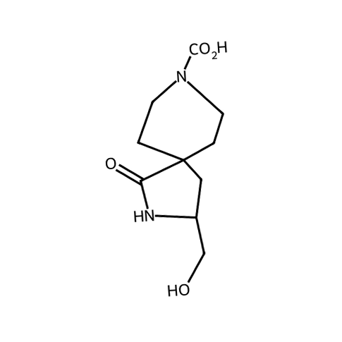 O=C(O)N1CCC2(CC1)CC(CO)NC2=O